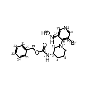 O=C(N[C@H]1CCCN(c2c(Br)cncc2NO)C1)OCc1ccccc1